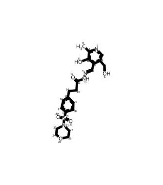 Cc1ncc(CO)c(/C=N/NC(=O)CCc2ccc(S(=O)(=O)N3CCOCC3)cc2)c1O